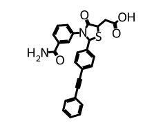 NC(=O)c1cccc(N2C(=O)C(CC(=O)O)SC2c2ccc(C#Cc3ccccc3)cc2)c1